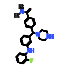 C=C(c1ccc(C(c2cccc(Nc3ccccc3F)c2)N2CCNCC2)cc1)N(CC)CC